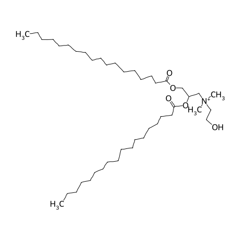 CCCCCCCCCCCCCCCCCC(=O)OCC(C[N+](C)(C)CCO)OC(=O)CCCCCCCCCCCCCCCCC